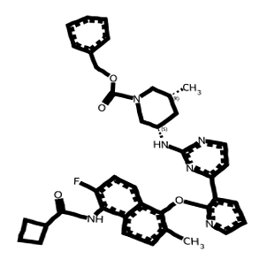 Cc1ccc2c(NC(=O)C3CCC3)c(F)ccc2c1Oc1ncccc1-c1ccnc(N[C@H]2C[C@@H](C)CN(C(=O)OCc3ccccc3)C2)n1